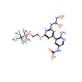 Cc1ncc(NC(=O)O)cc1-c1cc(CC(O)CO)nc(OCCO[Si](C)(C)C(C)(C)C)c1